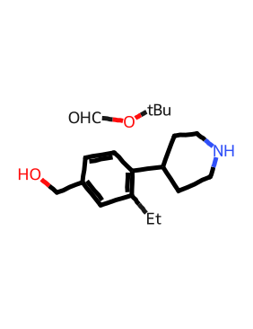 CC(C)(C)OC=O.CCc1cc(CO)ccc1C1CCNCC1